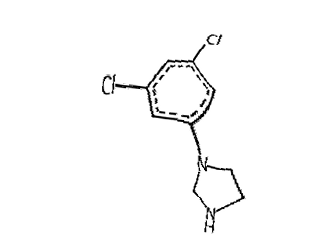 Clc1cc(Cl)cc(N2CCNC2)c1